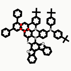 CC(C)(C)c1ccc(N(c2ccc(C(C)(C)C)cc2)c2ccc3c(c2)N(c2ccc(C(C)(C)C)cc2-c2ccccc2)c2cc(-c4cc(-c5ccccc5)cc(-c5ccccc5)c4)cc4c2B3c2c(c3oc5ccccc5c3c3c2oc2ccccc23)S4)cc1